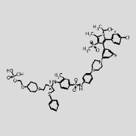 Cc1cc(S(=O)(=O)Nc2ccc(N3CCN(c4cc(F)cc(-c5c(S(C)(=O)=O)c(C)n(C(C)C)c5-c5ccc(Cl)cc5)c4)CC3)cc2)ccc1N[C@H](CCN1CCC(OCOP(=O)(O)O)CC1)CSc1ccccc1